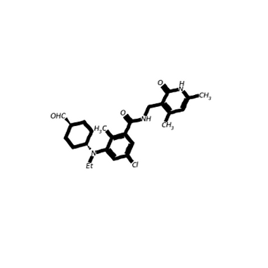 CCN(c1cc(Cl)cc(C(=O)NCc2c(C)cc(C)[nH]c2=O)c1C)[C@H]1CC[C@H](C=O)CC1